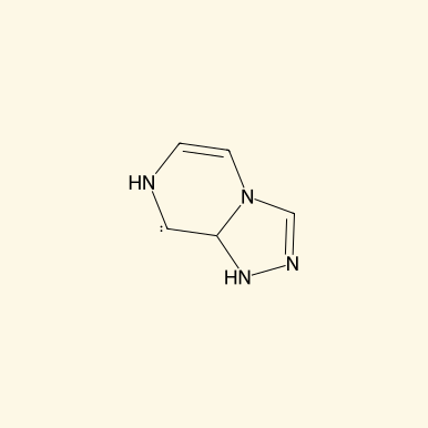 [C]1NC=CN2C=NNC12